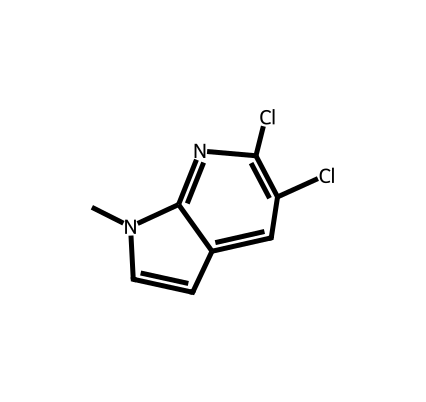 Cn1ccc2cc(Cl)c(Cl)nc21